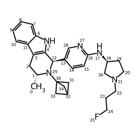 C[C@@H]1Cc2c([nH]c3ccccc23)[C@@H](c2ccc(N[C@H]3CCN(CCCF)C3)nc2)N1C12CC(C1)C2